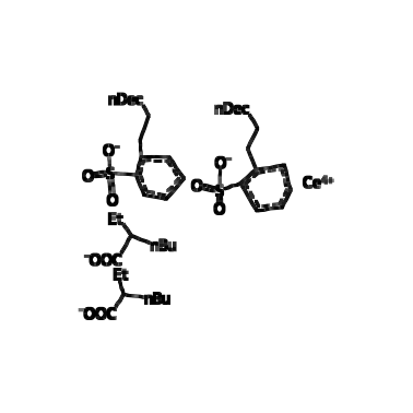 CCCCC(CC)C(=O)[O-].CCCCC(CC)C(=O)[O-].CCCCCCCCCCCCc1ccccc1S(=O)(=O)[O-].CCCCCCCCCCCCc1ccccc1S(=O)(=O)[O-].[Ce+4]